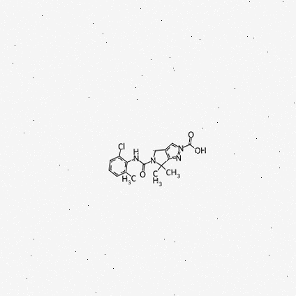 Cc1cccc(Cl)c1NC(=O)N1Cc2cn(C(=O)O)nc2C1(C)C